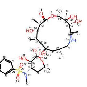 CC[C@H]1OC(=O)[C@H](C)[C@@H](O)[C@H](C)[C@@H](O[C@@H]2O[C@H](C)C[C@H](N(C)S(=O)(=O)c3ccccc3)[C@H]2O)[C@](C)(O)C[C@@H](C)CN[C@H](C)[C@@H](O)[C@]1(C)O